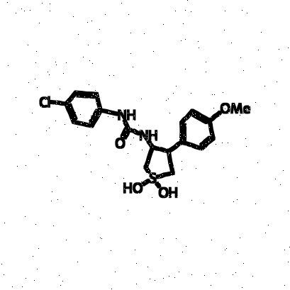 COc1ccc(C2CS(O)(O)CC2NC(=O)Nc2ccc(Cl)cc2)cc1